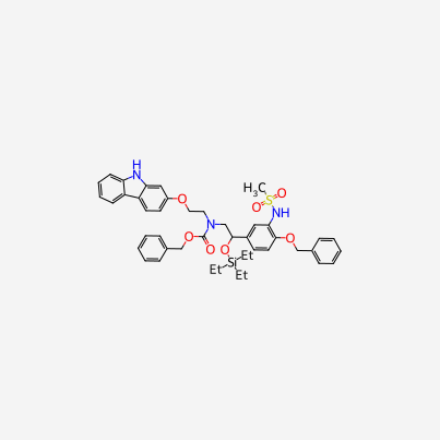 CC[Si](CC)(CC)OC(CN(CCOc1ccc2c(c1)[nH]c1ccccc12)C(=O)OCc1ccccc1)c1ccc(OCc2ccccc2)c(NS(C)(=O)=O)c1